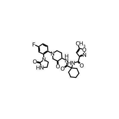 Cc1cc(C(=O)NC2(C(=O)NC3CCN(c4ccc(F)cc4N4CCNC4=O)CC3=O)CCCCC2)no1